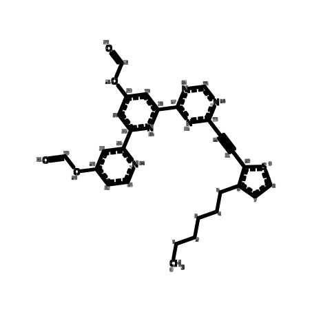 CCCCCCc1ccsc1C#Cc1ncnc(-c2cc(OC=O)cc(-c3cc(OC=O)ccn3)n2)n1